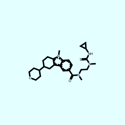 CN(CCN(C)C(=S)NC1CC1)C(=O)c1ccc2c(c1)c1c(n2C)CCC(C2CCOCC2)C1